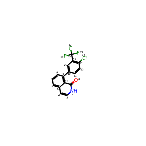 O=c1[nH]ccc2cccc(-c3ccc(Cl)c(C(F)(F)F)c3)c12